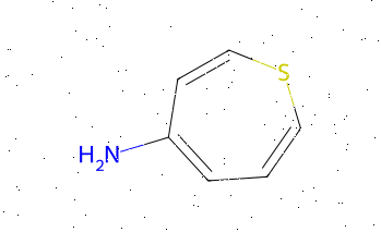 NC1=CC=CSC=C1